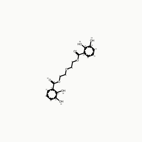 O=C(OCCOCCOC(=O)c1cccc(O)c1O)c1cccc(O)c1O